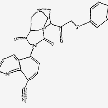 N#Cc1ccc(N2C(=O)C3CN4CC(C(=O)CSc5ccccc5)[N+]3(C4)C2=O)c2cccnc12